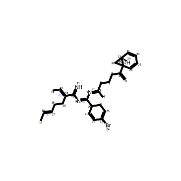 C=C(CCC/C(C)=N/C(=N\C(=N)/C(=C/C)CC/C=C/C)C1C=CC(Br)=CC1)C12C=CC=C[C@H]1C2